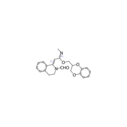 C/N=C(\C=C1\c2ccccc2CCN1C=O)OCC1COc2ccccc2O1